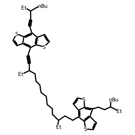 CCCCC(C#Cc1c2ccsc2c(C#CC(CC)CCCCCCCCC(CC)CCc2c3ccsc3c(CCC(CC)CCCC)c3ccsc23)c2ccsc12)CC